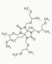 CCCC12N(COC(C)COC)C(=O)N(COC(C)COC)C1(C)N(COC(C)COC)C(=O)N2COC(C)COC